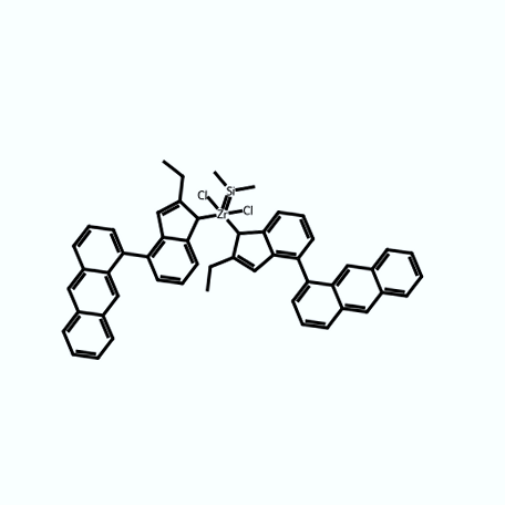 CCC1=Cc2c(-c3cccc4cc5ccccc5cc34)cccc2[CH]1[Zr]([Cl])([Cl])([CH]1C(CC)=Cc2c(-c3cccc4cc5ccccc5cc34)cccc21)=[Si](C)C